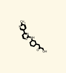 Cc1ccc(-c2ccnc(NC3CCCC(CC(=O)CO)C3)n2)cn1